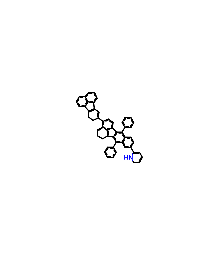 C1=CCNC(c2ccc3c(-c4ccccc4)c4c(c(-c5ccccc5)c3c2)C2=c3c-4ccc(C4=CC5=C(CC4)c4cccc6cccc5c46)c3=CCC2)=C1